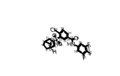 C[C@@]1(O)C2CC[C@H]1C[C@@H](S(=O)(=O)c1cc(C(=O)Nc3cc(F)c(F)c(F)c3)ccc1Cl)C2